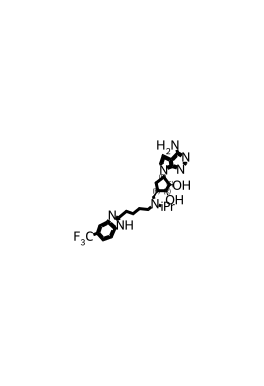 CC(C)N(CCCCc1nc2cc(C(F)(F)F)ccc2[nH]1)C[C@H]1C[C@@H](n2ccc3c(N)ncnc32)[C@H](O)[C@@H]1O